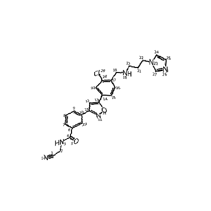 N#CCNC(=O)c1cccc(-c2cc(-c3ccc(CNCCCn4ccnc4)c(Cl)c3)on2)c1